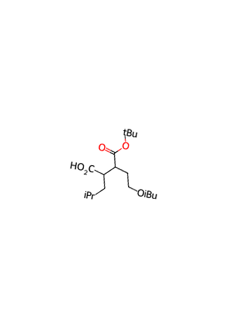 CC(C)COCCC(C(=O)OC(C)(C)C)C(CC(C)C)C(=O)O